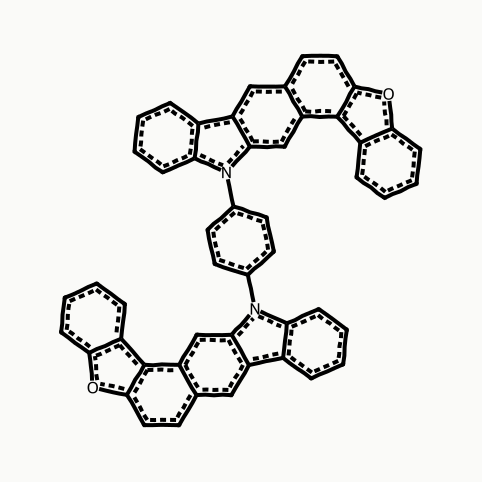 c1ccc2c(c1)oc1ccc3cc4c5ccccc5n(-c5ccc(-n6c7ccccc7c7cc8ccc9oc%10ccccc%10c9c8cc76)cc5)c4cc3c12